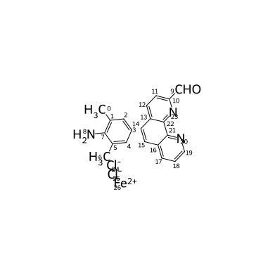 Cc1cccc(C)c1N.O=Cc1ccc2ccc3cccnc3c2n1.[Cl-].[Cl-].[Fe+2]